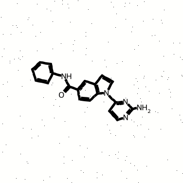 Nc1nccc(-n2ccc3cc(C(=O)Nc4ccccc4)ccc32)n1